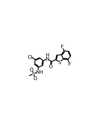 CS(=O)(=O)Nc1cc(Cl)cc(NC(=O)c2cc3c(F)ccc(F)c3s2)c1